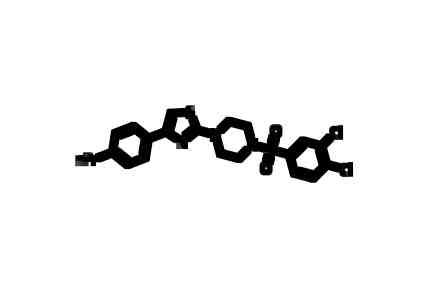 CCCc1ccc(-c2csc(N3CCN(S(=O)(=O)c4ccc(Cl)c(Cl)c4)CC3)n2)cc1